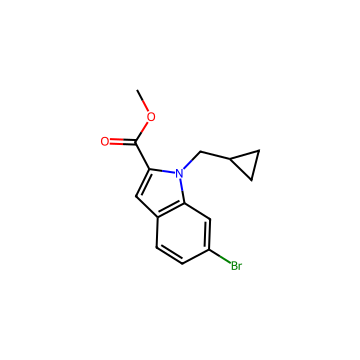 COC(=O)c1cc2ccc(Br)cc2n1CC1CC1